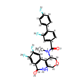 CN(C(=O)c1ccc(-c2ccc(F)cc2)c(F)c1)[C@H]1COCc2[nH]c(=O)c3cc(F)c(F)cc3c21